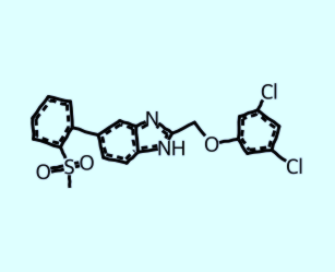 CS(=O)(=O)c1ccccc1-c1ccc2[nH]c(COc3cc(Cl)cc(Cl)c3)nc2c1